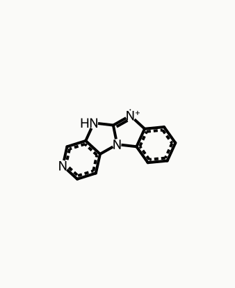 c1ccc2c(c1)[N+]=C1Nc3cnccc3N12